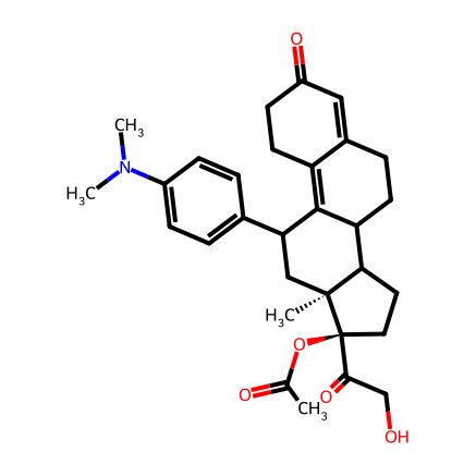 CC(=O)O[C@]1(C(=O)CO)CCC2C3CCC4=CC(=O)CCC4=C3C(c3ccc(N(C)C)cc3)C[C@@]21C